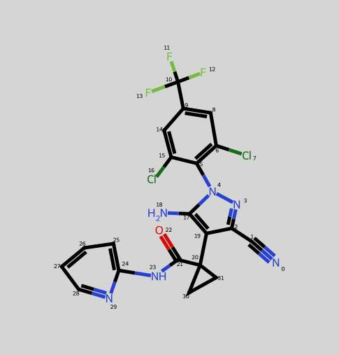 N#Cc1nn(-c2c(Cl)cc(C(F)(F)F)cc2Cl)c(N)c1C1(C(=O)Nc2ccccn2)CC1